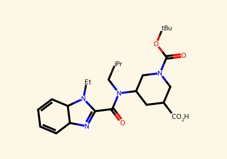 CCN1C(C(=O)N(CC(C)C)C2CC(C(=O)O)CN(C(=O)OC(C)(C)C)C2)=NC2C=CC=CC21